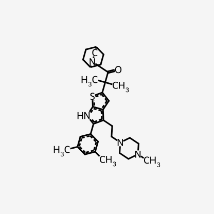 Cc1cc(C)cc(-c2[nH]c3sc(C(C)(C)C(=O)N4CC5CCC4CC5)cc3c2CCN2CCN(C)CC2)c1